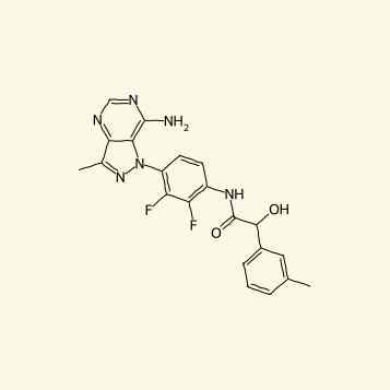 Cc1cccc(C(O)C(=O)Nc2ccc(-n3nc(C)c4ncnc(N)c43)c(F)c2F)c1